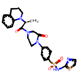 C[C@@H](C(=O)N1CCN(c2ccc(S(=O)(=O)Nc3nccs3)cc2)C(=O)C1)N1CCCc2ccccc21